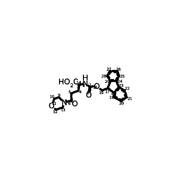 O=C(NC(CCC(=O)N1CCOCC1)C(=O)O)OCC1c2ccccc2-c2ccccc21